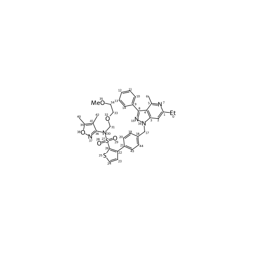 CCc1cc2c(c(C)n1)c(-c1ccccc1)nn2Cc1ccc(-c2ccsc2S(=O)(=O)N(COCCOC)c2noc(C)c2C)cc1